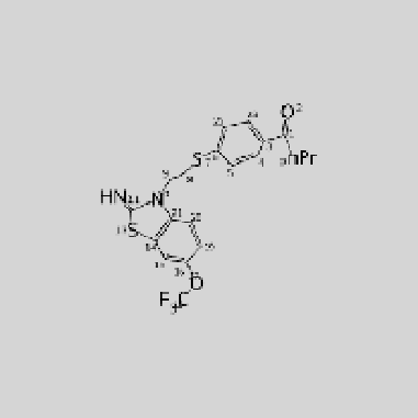 CCCC(=O)c1ccc(SCCn2c(=N)sc3cc(OC(F)(F)F)ccc32)cc1